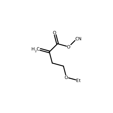 C=C(CCOCC)C(=O)OC#N